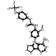 COc1cc(-n2c3c(c4ncnc(N)c42)CCC3)ccc1NC(=O)Cc1ccc(OC(F)(F)F)cc1